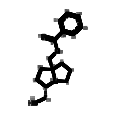 O=C(OC[C@@]12CCCN1[C@H](CO)CC2)c1ccccc1